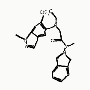 CCOC(=O)CN(CC(=O)N(C)N1Cc2ccccc2C1)c1cc2cnn(C)c2cc1C